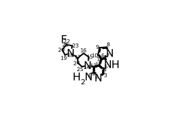 Nc1ncc2[nH]c3ncccc3c2c1N1CCC(N2CC[C@H](F)C2)CC1